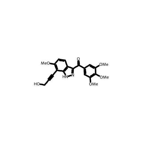 COc1cc(C(=O)c2n[nH]c3c(C#CCO)c(OC)ccc23)cc(OC)c1OC